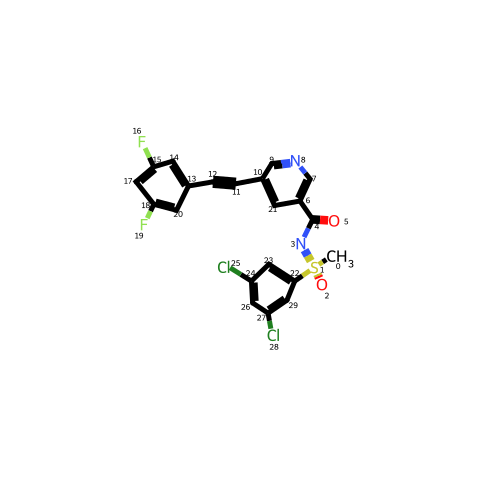 CS(=O)(=NC(=O)c1cncc(C#Cc2cc(F)cc(F)c2)c1)c1cc(Cl)cc(Cl)c1